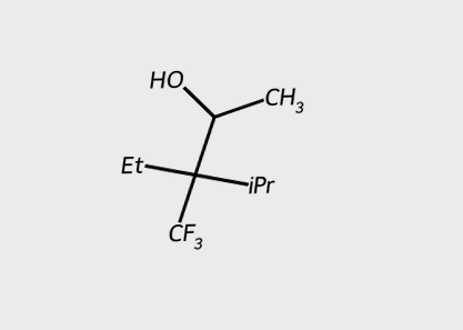 CCC(C(C)C)(C(C)O)C(F)(F)F